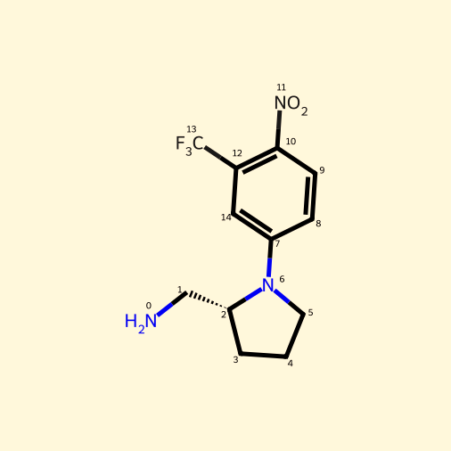 NC[C@H]1CCCN1c1ccc([N+](=O)[O-])c(C(F)(F)F)c1